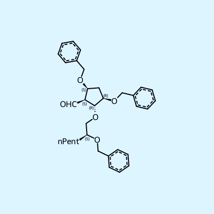 CCCCC[C@@H](CO[C@@H]1[C@@H](C=O)[C@@H](OCc2ccccc2)C[C@H]1OCc1ccccc1)OCc1ccccc1